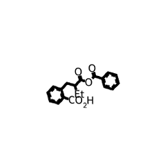 CCC(Cc1ccccc1C(=O)O)C(=O)OC(=O)c1ccccc1